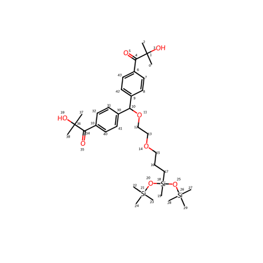 CC(C)(O)C(=O)c1ccc(C(OCCOCCC[Si](C)(O[Si](C)(C)C)O[Si](C)(C)C)c2ccc(C(=O)C(C)(C)O)cc2)cc1